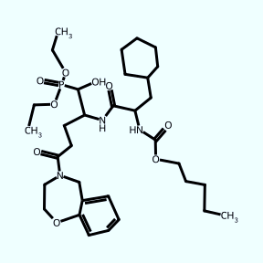 CCCCCOC(=O)NC(CC1CCCCC1)C(=O)NC(CCC(=O)N1CCOc2ccccc2C1)C(O)P(=O)(OCC)OCC